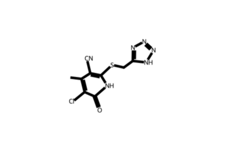 Cc1c(C#N)c(SCc2nnn[nH]2)[nH]c(=O)c1Cl